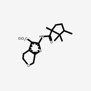 CCOC(=O)c1c(NC(=O)C2(C)CCC(C)C2(C)C)sc2c1CCOC2